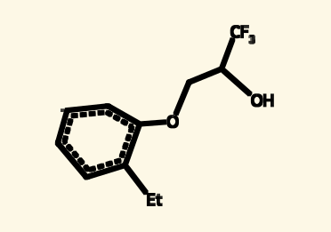 CCc1cc[c]cc1OCC(O)C(F)(F)F